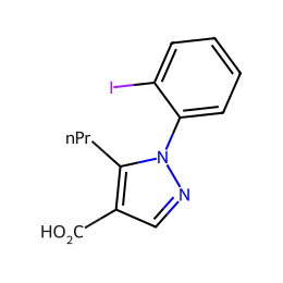 CCCc1c(C(=O)O)cnn1-c1ccccc1I